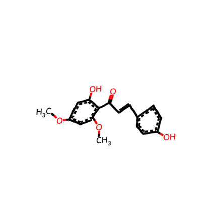 COc1cc(O)c(C(=O)/C=C/c2ccc(O)cc2)c(OC)c1